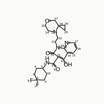 O=C(NC1CCC(F)(F)CC1)c1c(O)c2cccnc2n(CCN2CCOCC23CC3)c1=O